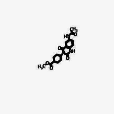 COC(=O)C1CCC(n2c(=O)[nH]c3ccc(NC(C)=O)cc3c2=O)CC1